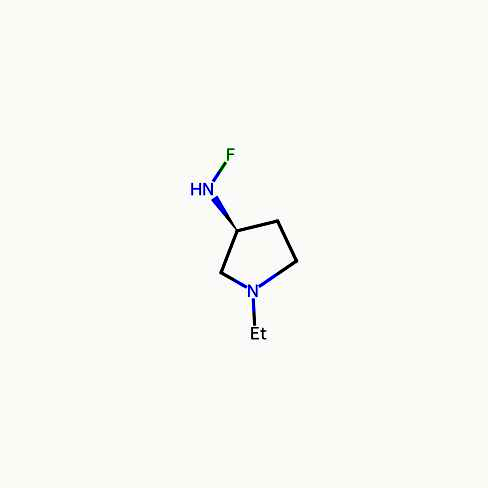 CCN1CC[C@H](NF)C1